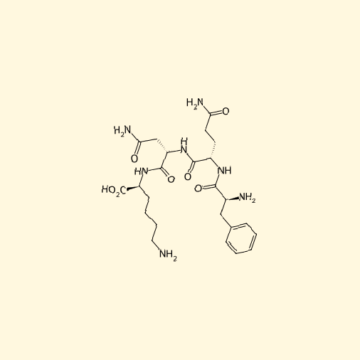 NCCCC[C@H](NC(=O)[C@H](CC(N)=O)NC(=O)[C@H](CCC(N)=O)NC(=O)[C@@H](N)Cc1ccccc1)C(=O)O